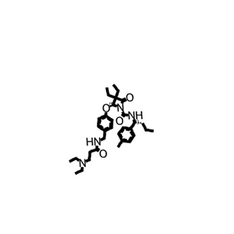 CCC[C@@H](NC(=O)N1C(=O)C(CC)(CC)[C@@H]1Oc1ccc(CNC(=O)CCN(CC)CC)cc1)c1ccc(C)cc1